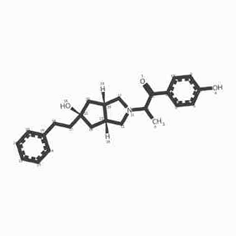 CC(C(=O)c1ccc(O)cc1)N1C[C@@H]2C[C@](O)(CCc3ccccc3)C[C@@H]2C1